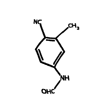 Cc1cc(NC=O)ccc1C#N